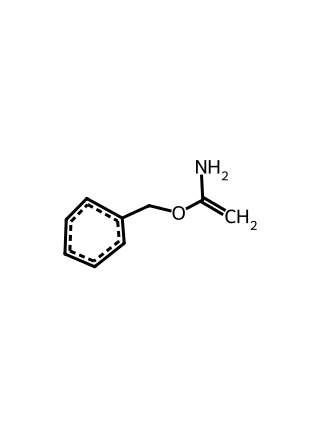 C=C(N)OCc1ccccc1